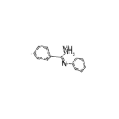 NC(=Nc1ccccc1)c1cc[c]cc1